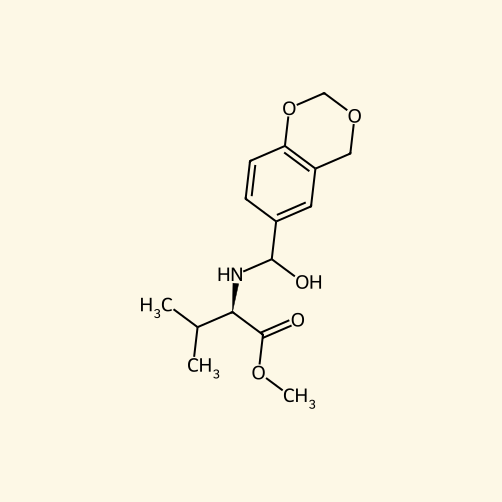 COC(=O)[C@H](NC(O)c1ccc2c(c1)COCO2)C(C)C